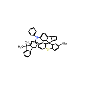 CC(C)(C)c1ccc2c(c1)C1(c3cc(C(C)(C)C)ccc3S2)c2ccccc2-c2ccc(N(c3ccccc3)c3ccc4c(c3)C(C)(C)c3ccccc3-4)cc21